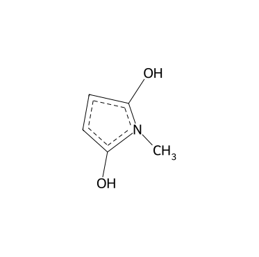 Cn1c(O)ccc1O